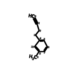 C#CCCc1cccc(C)c1